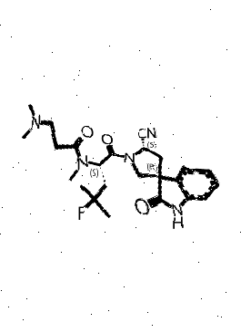 CN(C)CCC(=O)N(C)[C@@H](CC(C)(C)F)C(=O)N1C[C@]2(C[C@H]1C#N)C(=O)Nc1ccccc12